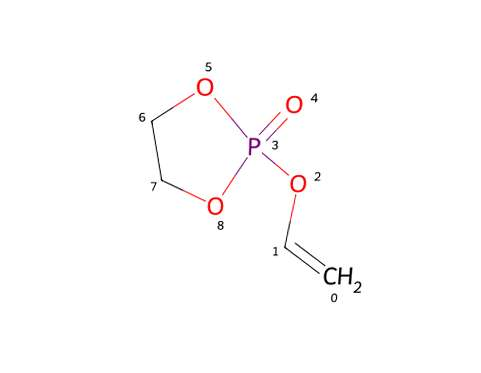 C=COP1(=O)OCCO1